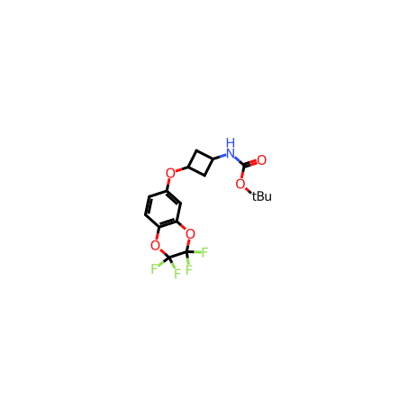 CC(C)(C)OC(=O)NC1CC(Oc2ccc3c(c2)OC(F)(F)C(F)(F)O3)C1